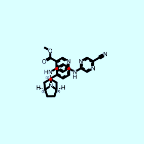 COC(=O)c1cnc(Nc2cnc(C#N)cn2)cc1N[C@@H]1C[C@H]2CC[C@@H](C1)N2Cc1ccccc1